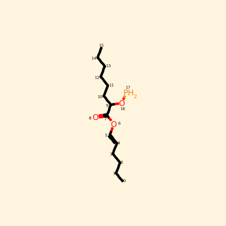 CCCCC=COC(=O)C(CCCCCC)OP